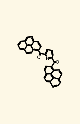 O=C(c1cccc(C(=O)c2ccc3ccc4cccc5ccc2c3c45)n1)c1ccc2ccc3cccc4ccc1c2c34